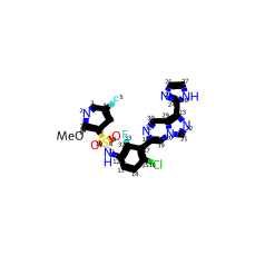 COc1ncc(F)cc1S(=O)(=O)Nc1ccc(Cl)c(-c2cn3cnc(-c4ncc[nH]4)c3cn2)c1F